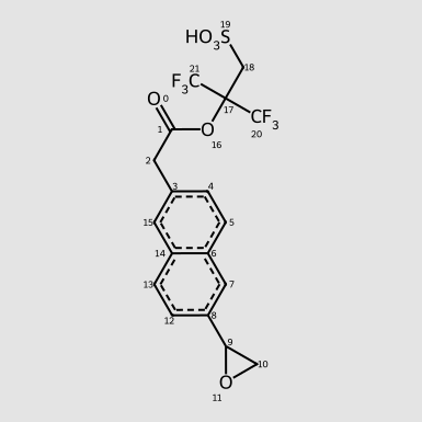 O=C(Cc1ccc2cc(C3CO3)ccc2c1)OC(CS(=O)(=O)O)(C(F)(F)F)C(F)(F)F